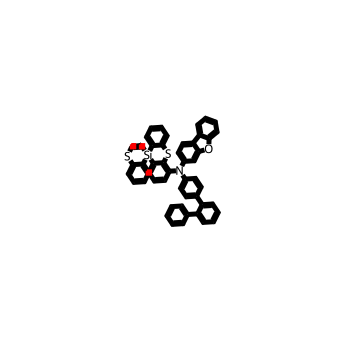 c1ccc(-c2ccccc2-c2ccc(N(c3ccc4c(c3)oc3ccccc34)c3cccc4c3Sc3ccccc3[Si]43c4ccccc4Sc4ccccc43)cc2)cc1